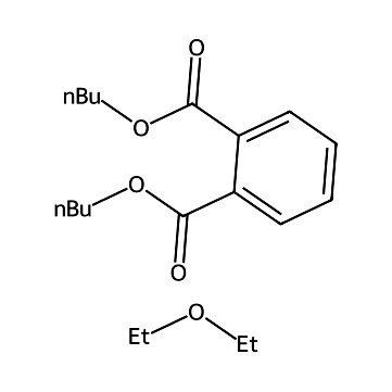 CCCCOC(=O)c1ccccc1C(=O)OCCCC.CCOCC